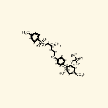 Cc1ccc(S(=O)(=O)OC[C@H](C)CCSc2ccc([C@@H]3[C@@H](O)CN(C(=O)O)C[C@H]3O[Si](C(C)C)(C(C)C)C(C)C)cc2)cc1